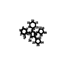 Cc1ccccc1N1C(C2CCCCC2)N(C2CCCC2)C(C2CCCC2)[C@@H]1C